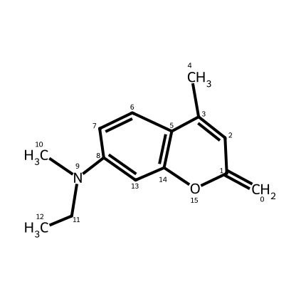 C=C1C=C(C)c2ccc(N(C)CC)cc2O1